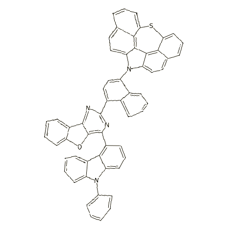 c1ccc(-n2c3ccccc3c3c(-c4nc(-c5ccc(-n6c7ccc8cccc9sc%10cccc%11ccc6c(c%11%10)c7c89)c6ccccc56)nc5c4oc4ccccc45)cccc32)cc1